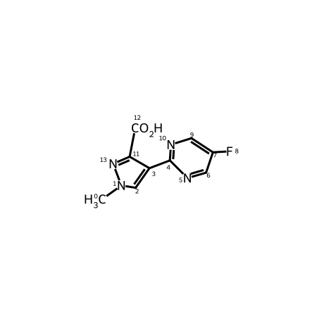 Cn1cc(-c2ncc(F)cn2)c(C(=O)O)n1